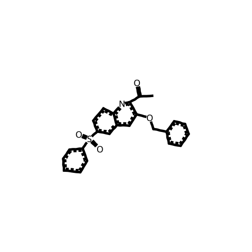 CC(=O)c1nc2ccc(S(=O)(=O)c3ccccc3)cc2cc1OCc1ccccc1